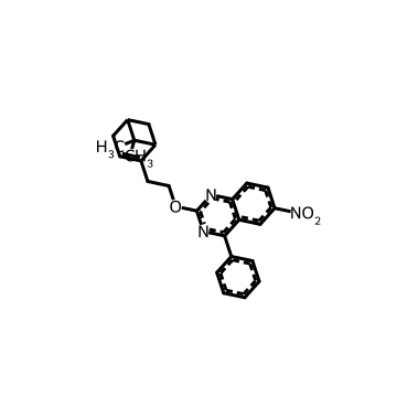 CC1(C)C2CC=C(CCOc3nc(-c4ccccc4)c4cc([N+](=O)[O-])ccc4n3)C1C2